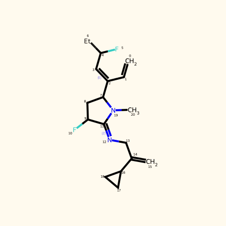 C=C/C(=C\C(F)CC)C1CC(F)/C(=N/CC(=C)C2CC2)N1C